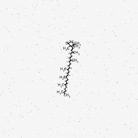 CC(C)=CCC/C(C)=C/C=C/C(C)=C/C=C/C(C)=C/C=C/C=C(C)/C=C/C=C(C)/C=C/C1=C(C)C(=O)CCC1(C)C